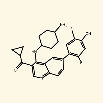 NC1CCC(Nc2c(C(=O)C3CC3)cnc3ccc(-c4cc(F)c(O)cc4F)cc23)CC1